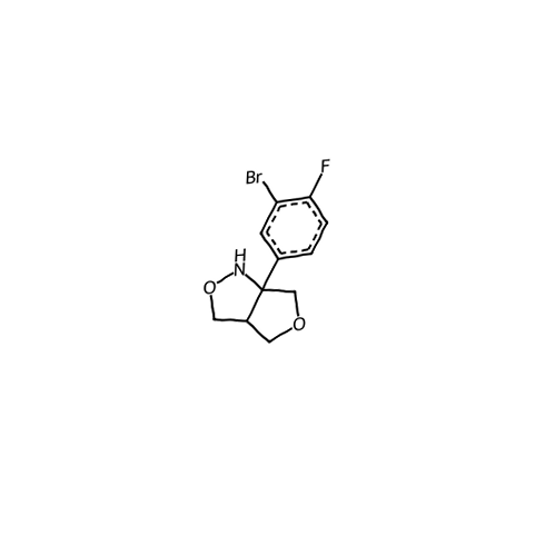 Fc1ccc(C23COCC2CON3)cc1Br